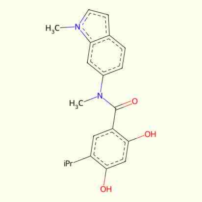 CC(C)c1cc(C(=O)N(C)c2ccc3ccn(C)c3c2)c(O)cc1O